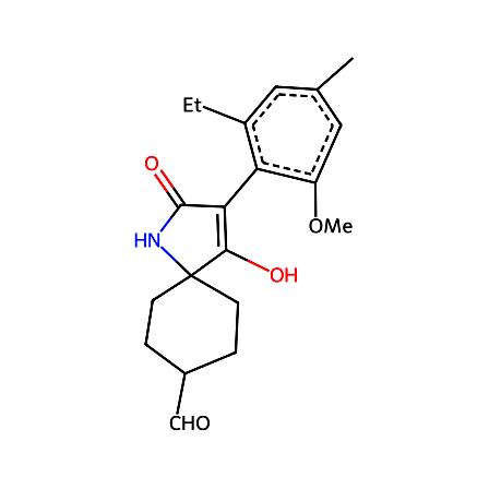 CCc1cc(C)cc(OC)c1C1=C(O)C2(CCC(C=O)CC2)NC1=O